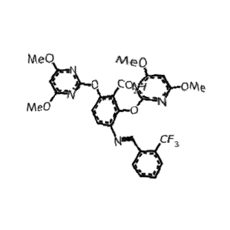 COc1cc(OC)nc(Oc2ccc(/N=C/c3ccccc3C(F)(F)F)c(Oc3nc(OC)cc(OC)n3)c2C(=O)O)n1